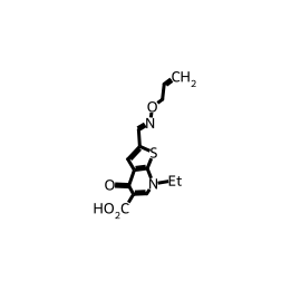 C=CCO/N=C/c1cc2c(=O)c(C(=O)O)cn(CC)c2s1